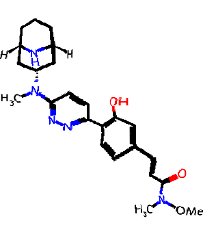 CON(C)C(=O)/C=C/c1ccc(-c2ccc(N(C)[C@H]3C[C@H]4CCC[C@@H](C3)N4)nn2)c(O)c1